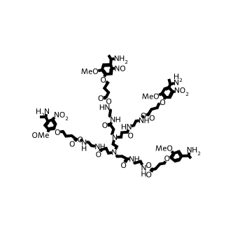 COc1cc(C(C)N)ccc1OCCCC(=O)ONCCNC(=O)CCN(CCC(=O)NCCNOC(=O)CCCOc1cc([N+](=O)[O-])c(C(C)N)cc1OC)CCN(CCC(=O)NCCNOC(=O)CCCOc1cc(N=O)c(C(C)N)cc1OC)CCC(=O)NCCNOC(=O)CCCOc1cc([N+](=O)[O-])c(C(C)N)cc1OC